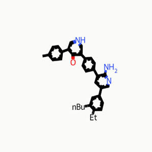 CCCCc1cc(-c2cnc(N)c(-c3ccc(-c4c[nH]cc(-c5ccc(C)cc5)c4=O)cc3)c2)ccc1CC